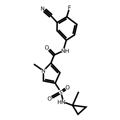 Cn1cc(S(=O)(=O)NC2(C)CC2)cc1C(=O)Nc1ccc(F)c(C#N)c1